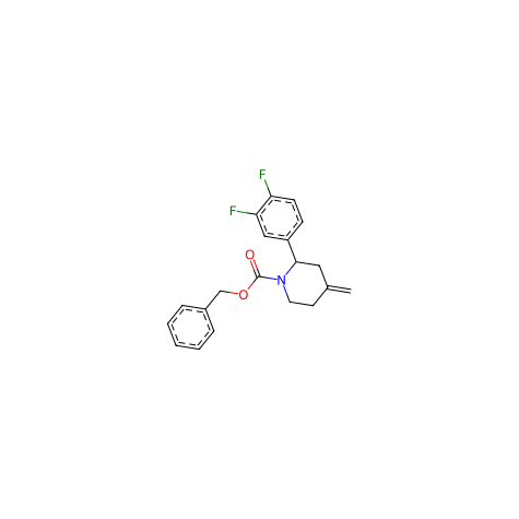 C=C1CCN(C(=O)OCc2ccccc2)C(c2ccc(F)c(F)c2)C1